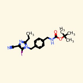 CCc1nc(C#N)c(I)n1Cc1ccc(CNC(=O)OC(C)(C)C)cc1